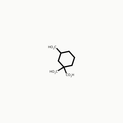 O=C(O)C1CCCC(C(=O)O)(C(=O)O)C1